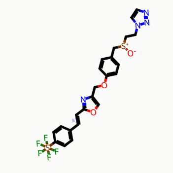 [O-][S+](CCn1ccnn1)Cc1ccc(OCc2coc(/C=C/c3ccc(S(F)(F)(F)(F)F)cc3)n2)cc1